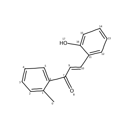 Cc1ccccc1C(=O)/C=C/c1ccccc1O